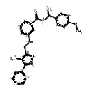 COc1ccc(C(C)NC(=O)c2cccc(NCc3nnc(-c4ccncn4)n3C)c2)cn1